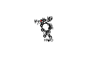 CO[C@@H](C)c1ncc(N2CCN3CCOC[C@@H]3C2)cc1-c1c2c3cc(ccc3n1CC(F)(F)F)C1=CCCN(C1)C[C@H](NC(=O)C(C1CCCC1)N1CC[C@]3(CCN(C(=O)[C@H]4CN4)C3)C1)C(=O)N1CCC[C@H](N1)C(=O)OCC(C)(C)C2